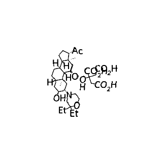 CCC1(CC)CN([C@H]2C[C@@]3(C)[C@@H](CC[C@H]4[C@@H]5CC[C@H](C(C)=O)[C@@]5(C)CC(=O)[C@@H]43)C[C@@H]2O)CCO1.O=C(O)CC(O)(CC(=O)O)C(=O)O